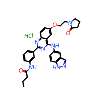 CCCC(=O)Nc1cccc(-c2nc(Nc3ccc4[nH]ncc4c3)c3cc(OCCN4CCCC4=O)ccc3n2)c1.Cl